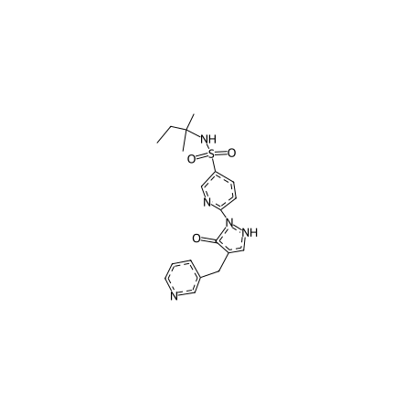 CCC(C)(C)NS(=O)(=O)c1ccc(-n2[nH]cc(Cc3cccnc3)c2=O)nc1